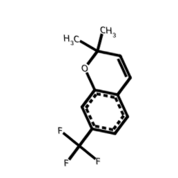 CC1(C)C=Cc2ccc(C(F)(F)F)cc2O1